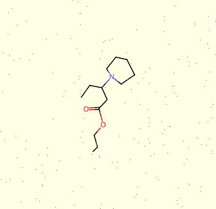 CCCOC(=O)CC(CC)N1CCCCC1